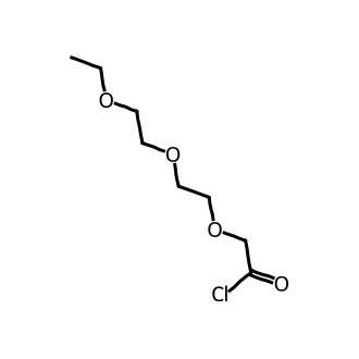 CCOCCOCCOCC(=O)Cl